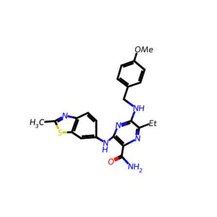 CCc1nc(C(N)=O)c(Nc2ccc3nc(C)sc3c2)nc1NCc1ccc(OC)cc1